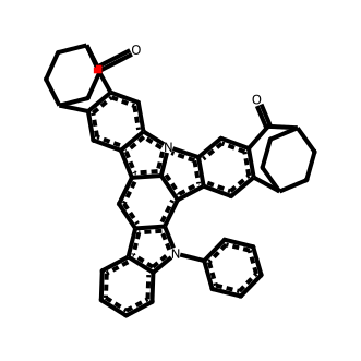 O=C1c2cc3c(cc2C2CCC1CC2)c1cc2c4ccccc4n(-c4ccccc4)c2c2c4cc5c(cc4n3c12)C(=O)C1CCC5CC1